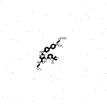 C=CCNC(=O)c1cnc(Nc2ccc(C3CCC(N(C)CCOC=O)CC3)cc2)nc1Nc1cccc(C2(O)COC2)n1